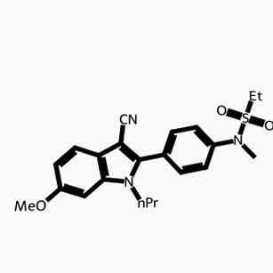 CCCn1c(-c2ccc(N(C)S(=O)(=O)CC)cc2)c(C#N)c2ccc(OC)cc21